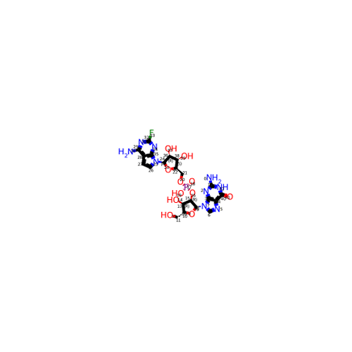 Nc1nc2c(ncn2[C@@H]2O[C@H](CO)[C@@H](O)[C@H]2OP(=O)(O)OC[C@H]2O[C@@H](n3ccc4c(N)nc(F)nc43)[C@H](O)[C@@H]2O)c(=O)[nH]1